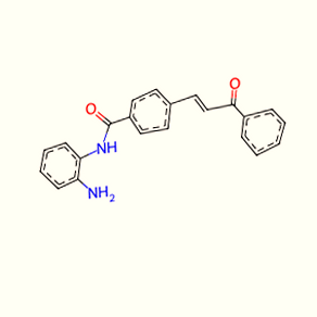 Nc1ccccc1NC(=O)c1ccc(C=CC(=O)c2ccccc2)cc1